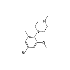 COc1cc(Br)cc(C)c1N1CCN(C)CC1